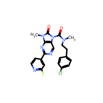 CN(CCc1ccc(Cl)cc1)C(=O)n1c(=O)n(C)c2nc(-c3ccnc(F)c3)ncc21